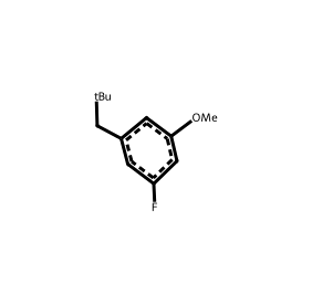 COc1cc(F)cc(CC(C)(C)C)c1